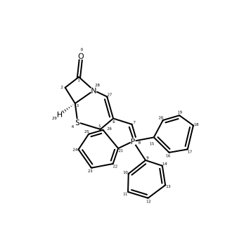 O=C1C[C@@H]2SCC(C=P(c3ccccc3)(c3ccccc3)c3ccccc3)=CN12